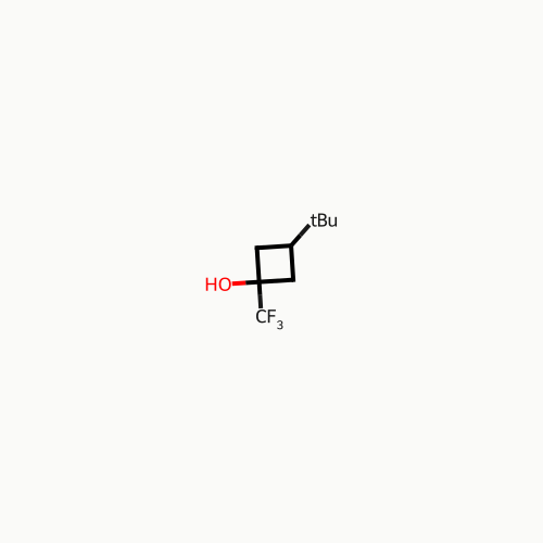 CC(C)(C)C1CC(O)(C(F)(F)F)C1